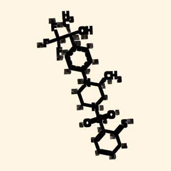 C[C@H]1CN(S(=O)(=O)C2=CC=CCC2=S)CCN1c1ccc([C@](C)(O)C(F)(F)F)cc1